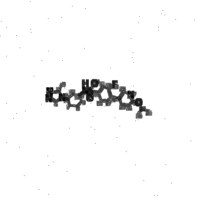 Cc1nncn1[C@@H]1CCC[C@H](NS(=O)(=O)c2ccc(-c3ccc(OC(C)C)nc3)c(F)c2)C1